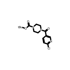 CC(C)(C)OC(=O)N1CCN(C(=O)c2ccc(Cl)nc2)CC1